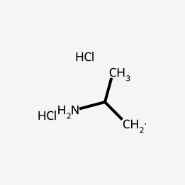 Cl.Cl.[CH2]C(C)N